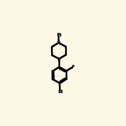 CCc1ccc(N2CCN(CC)CC2)c(F)c1